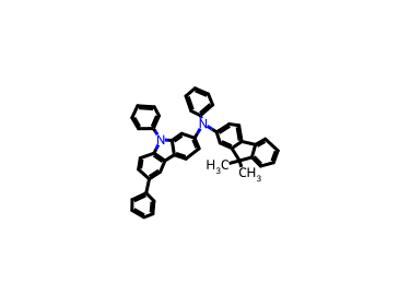 CC1(C)c2ccccc2-c2ccc(N(c3ccccc3)c3ccc4c5cc(-c6ccccc6)ccc5n(-c5ccccc5)c4c3)cc21